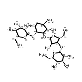 NC[C@@H]1O[C@H](O[C@H]2[C@@H](O)[C@H](O[C@@H]3[C@@H](O)[C@H](N)C[C@H](N)[C@H]3O[C@@H]3C[C@@H](O)[C@H](O)[C@@H](CN)O3)O[C@@H]2CO)[C@H](N)[C@@H](O)[C@@H]1O